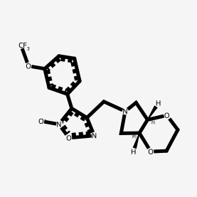 [O-][n+]1onc(CN2C[C@@H]3OCCO[C@@H]3C2)c1-c1cccc(OC(F)(F)F)c1